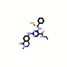 CCNC(=O)c1cnc(Nc2ccc3c(c2)CCN(C)C3=O)nc1N[C@H](CO)c1ccccc1